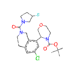 CC(C)(C)OC(=O)N1CCOCC1c1cc(Cl)cc2c1CN(C(=O)N1CCC(F)C1)CC2